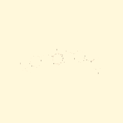 Cc1c(OC2CCN(C(=O)OC(C)C)CC2)ncnc1SC1CCN(S(C)(=O)=O)CC1